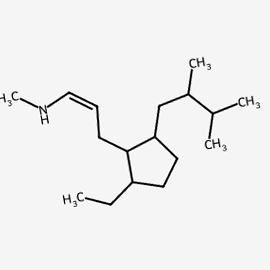 CCC1CCC(CC(C)C(C)C)C1C/C=C\NC